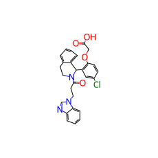 O=C(O)COc1ccc(Cl)cc1C1c2ccccc2CCN1C(=O)CCn1cnc2ccccc21